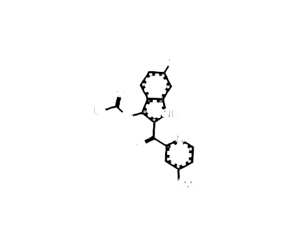 CCC(=O)Oc1c(C(=O)c2cc(OC)ccn2)[nH]c2cc(Cl)ccc12